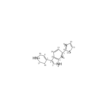 C1=C(c2c[nH]c3nc(-c4nccs4)ccc23)CCNC1